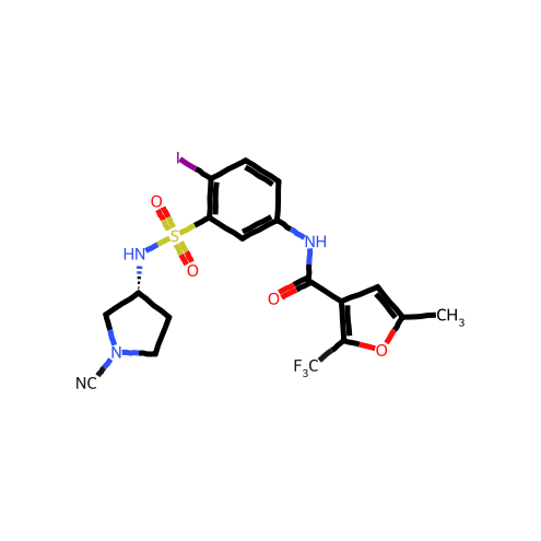 Cc1cc(C(=O)Nc2ccc(I)c(S(=O)(=O)N[C@@H]3CCN(C#N)C3)c2)c(C(F)(F)F)o1